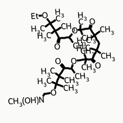 CCOC(C)(C)C(C)(C)C(=O)C(C)OC(C)(C)C(=O)C(C)(C)CC(C)(C)C(=O)C(C)(C)OC(C)C(=O)C(C)(C)C(C)(C)OCN(C)O